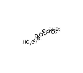 CCC(=O)CC(=O)Oc1ccc(OC(=O)c2ccc(C(=O)OC3CCC(C(=O)O)CC3)cc2)cc1